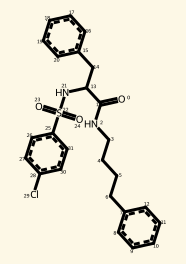 O=C(NCCCCc1ccccc1)C(Cc1cc[c]cc1)NS(=O)(=O)c1ccc(Cl)cc1